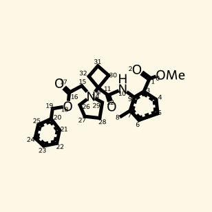 COC(=O)c1cccc(C)c1NC(=O)C1([N+]2(CC(=O)OCc3ccccc3)CCCC2)CCC1